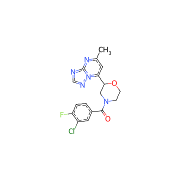 Cc1cc(C2CN(C(=O)c3ccc(F)c(Cl)c3)CCO2)n2ncnc2n1